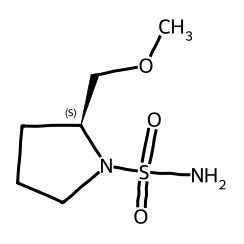 COC[C@@H]1CCCN1S(N)(=O)=O